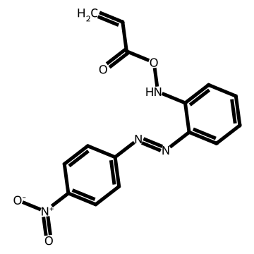 C=CC(=O)ONc1ccccc1N=Nc1ccc([N+](=O)[O-])cc1